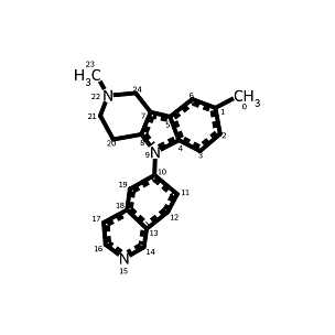 Cc1ccc2c(c1)c1c(n2-c2ccc3cnccc3c2)CCN(C)C1